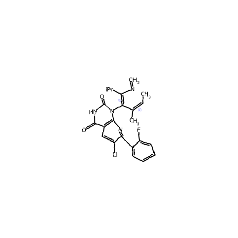 C=N/C(=C(\C(C)=C/C)n1c(=O)[nH]c(=O)c2cc(Cl)c(-c3ccccc3F)nc21)C(C)C